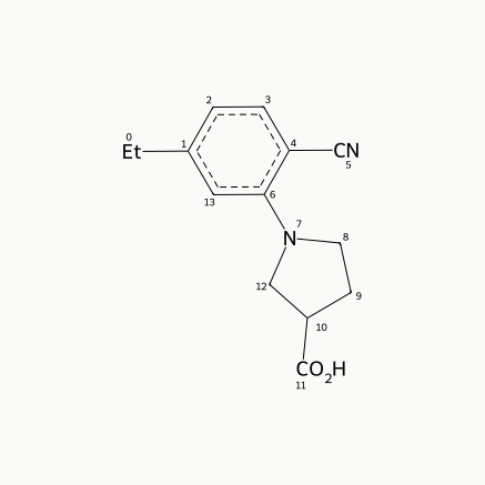 CCc1ccc(C#N)c(N2CCC(C(=O)O)C2)c1